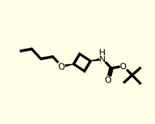 CCCCO[C@H]1C[C@@H](NC(=O)OC(C)(C)C)C1